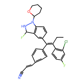 CC/C(=C(/c1ccc(/C=C/C#N)cc1)c1ccc2c(c1)C(F)NN2C1CCCCO1)c1ccc(F)cc1Cl